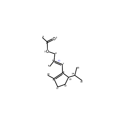 CC(=O)OC/C(C)=C/C1=C(C)CCC1C(C)C